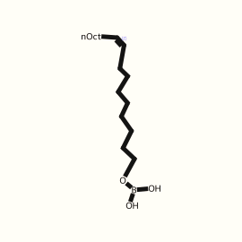 CCCCCCCC/C=C\CCCCCCCCOB(O)O